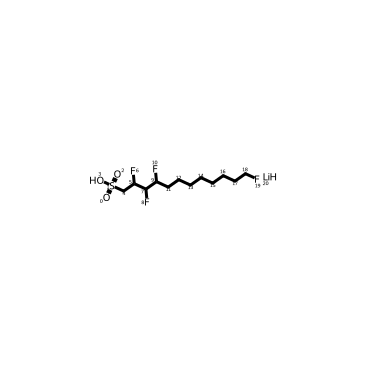 O=S(=O)(O)CC(F)C(F)C(F)CCCCCCCCF.[LiH]